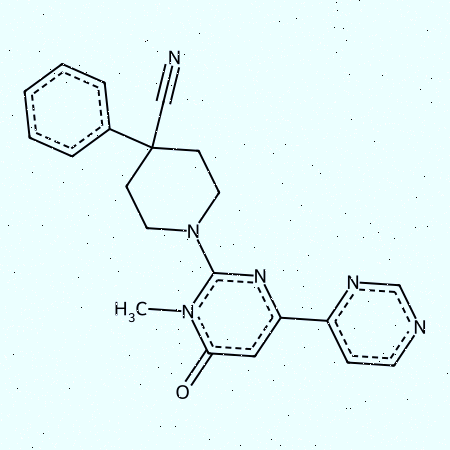 Cn1c(N2CCC(C#N)(c3ccccc3)CC2)nc(-c2ccncn2)cc1=O